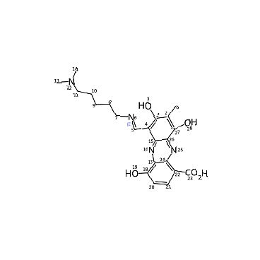 Cc1c(O)c(/C=N/CCCCCN(C)C)c2nc3c(O)ccc(C(=O)O)c3nc2c1O